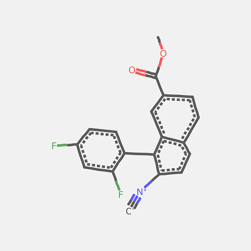 [C-]#[N+]c1ccc2ccc(C(=O)OC)cc2c1-c1ccc(F)cc1F